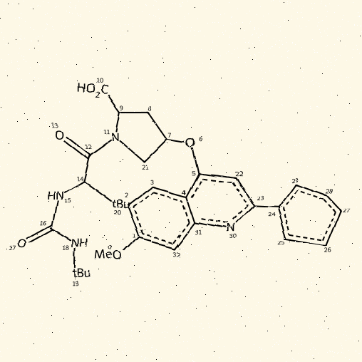 COc1ccc2c(OC3CC(C(=O)O)N(C(=O)C(NC(=O)NC(C)(C)C)C(C)(C)C)C3)cc(-c3ccccc3)nc2c1